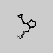 NOC[C@@H]1CCCN1CC1CC1